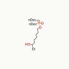 CCCCCCCCCCOP(=O)(CCCCCCCCCC)OCCCCCCC(O)CC